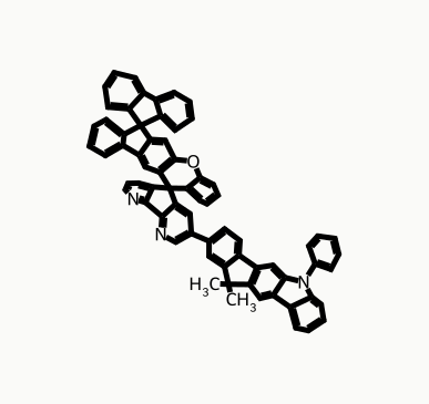 CC1(C)c2cc(-c3cnc4c(c3)C3(c5ccccc5Oc5cc6c(cc53)-c3ccccc3C63c5ccccc5-c5ccccc53)c3cccnc3-4)ccc2-c2cc3c(cc21)c1ccccc1n3-c1ccccc1